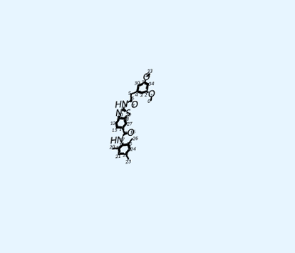 COc1cc(CC(=O)Nc2nc3ccc(C(=O)Nc4c(C)cc(C)cc4C)cc3s2)cc(OC)c1